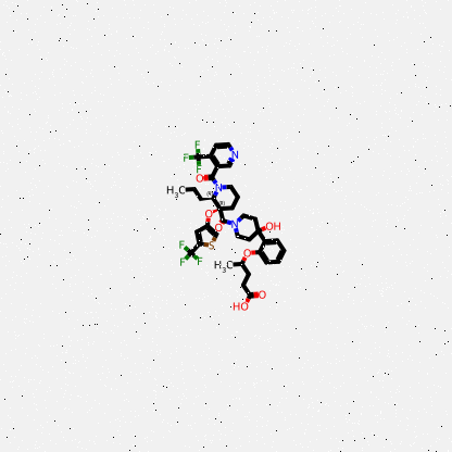 CCC[C@H]1N(C(=O)c2cnccc2C(F)(F)F)CCC[C@]1(Oc1csc(C(F)(F)F)c1)C(=O)N1CCC(O)(c2ccccc2OC(C)CCC(=O)O)CC1